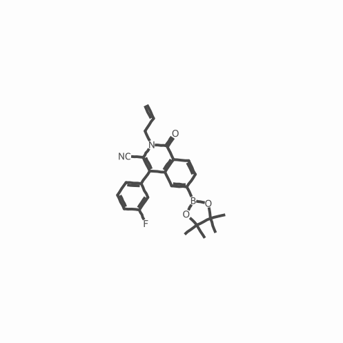 C=CCn1c(C#N)c(-c2cccc(F)c2)c2cc(B3OC(C)(C)C(C)(C)O3)ccc2c1=O